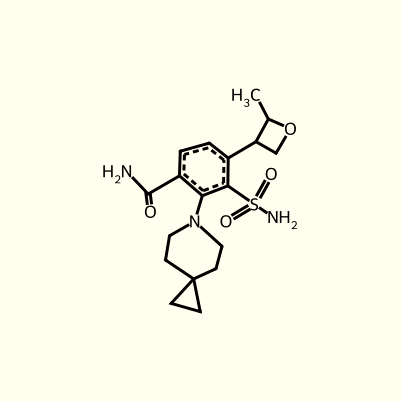 CC1OCC1c1ccc(C(N)=O)c(N2CCC3(CC2)CC3)c1S(N)(=O)=O